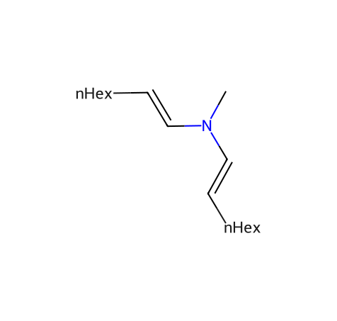 CCCCCC/C=C/N(C)/C=C/CCCCCC